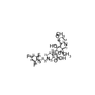 COc1ccc2ncc(N(C)C)c(C(O)CCC3(CC(=O)O)CCN(CCSc4c(F)cc(F)cc4F)CC3)c2c1